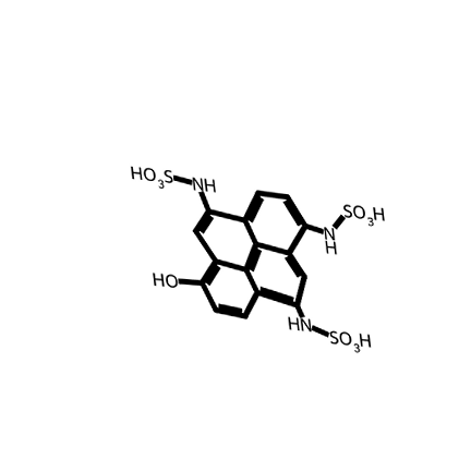 O=S(=O)(O)Nc1cc2c(NS(=O)(=O)O)ccc3c(NS(=O)(=O)O)cc4c(O)ccc1c4c32